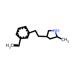 C=Cc1cccc(CCC2CNC(C)C2)c1